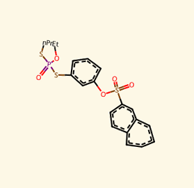 CCCSP(=O)(OCC)Sc1cccc(OS(=O)(=O)c2ccc3ccccc3c2)c1